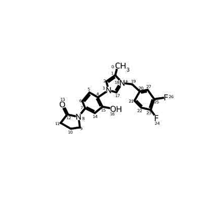 Cc1cn(-c2ccc(N3CCCC3=O)cc2O)c[n+]1Cc1ccc(F)c(F)c1